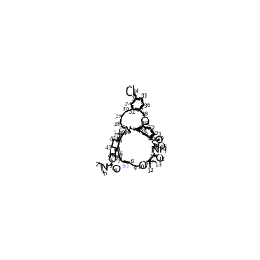 CN(C)C(=O)O[C@H]1/C=C/COC(C)(C)C(=O)NS(=O)(=O)c2ccc3c(c2)N(CCCCc2cc(Cl)ccc2CO3)C[C@@H]2CC[C@H]21